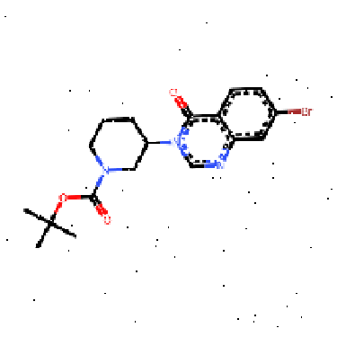 CC(C)(C)OC(=O)N1CCC[C@@H](n2cnc3cc(Br)ccc3c2=O)C1